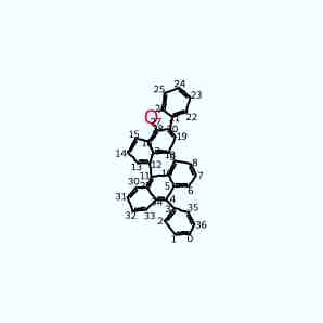 c1ccc(-c2c3ccccc3c(-c3cccc4c3ccc3c5ccccc5oc43)c3ccccc23)cc1